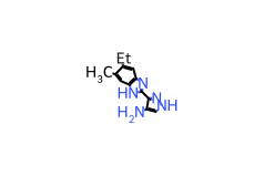 CCc1cc2nc(-c3n[nH]cc3N)[nH]c2cc1C